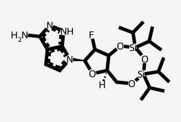 CC(C)[Si]1(C(C)C)OC[C@H]2O[C@@H](n3ccc4c(N)n[nH]c43)C(F)C2O[Si](C(C)C)(C(C)C)O1